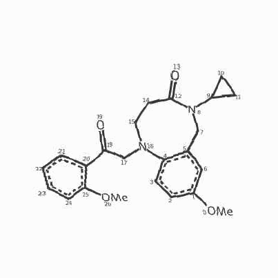 COc1ccc2c(c1)CN(C1CC1)C(=O)CCN2CC(=O)c1ccccc1OC